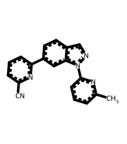 Cc1cccc(-n2ncc3ccc(-c4cccc(C#N)n4)cc32)n1